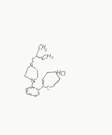 CC(C)CN1CCN(c2ccccc2C2=CCCCCC2)CC1.Cl